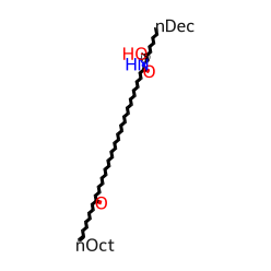 CCCCCCCCC=CCCCCCCCC(=O)CCCCCCCCCCCCCCCCCCCCCCCCCCCCCC(=O)NC[C@@H](O)CCCCCCCCCCCCCCCC